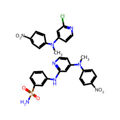 CN(c1ccc([N+](=O)[O-])cc1)c1ccnc(Cl)c1.CN(c1ccc([N+](=O)[O-])cc1)c1ccnc(Nc2cccc(S(N)(=O)=O)c2)c1